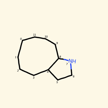 C1CCCC2CCNC2CCC1